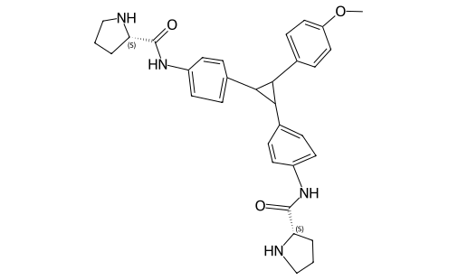 COc1ccc(C2C(c3ccc(NC(=O)[C@@H]4CCCN4)cc3)C2c2ccc(NC(=O)[C@@H]3CCCN3)cc2)cc1